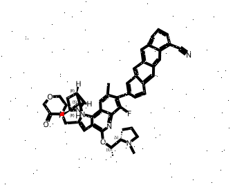 Cc1cc2c(nc(O[C@@H](C)[C@@H]3CCCN3C)c3cc(CN4CCOCC4=O)n([C@H]4[C@H]5CN[C@@H]4C5)c32)c(F)c1-c1ccc2cc3cc4c(C#N)cccc4cc3cc2c1